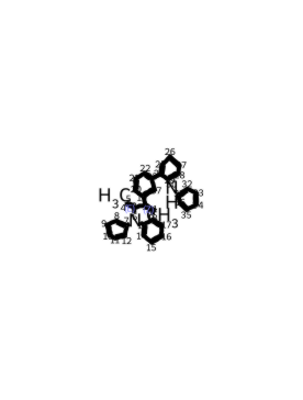 C/C=C(\C(=C/C)N(c1ccccc1)c1ccccc1)c1cccc(-c2ccccc2Nc2ccccc2)c1